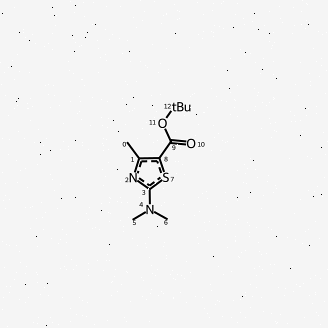 Cc1nc(N(C)C)sc1C(=O)OC(C)(C)C